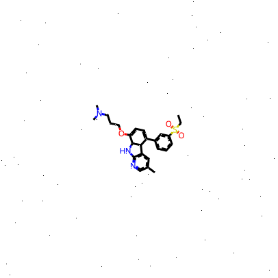 CCS(=O)(=O)c1cccc(C2=CC=C(OCCCN(C)C)C3Nc4ncc(C)cc4C23)c1